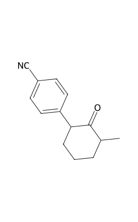 CC1CCCC(c2ccc(C#N)cc2)C1=O